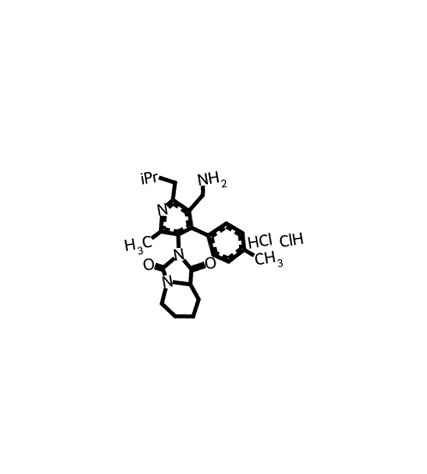 Cc1ccc(-c2c(CN)c(CC(C)C)nc(C)c2N2C(=O)C3CCCCN3C2=O)cc1.Cl.Cl